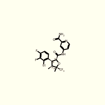 CCc1c([C@H]2[C@@H](C(=O)Nc3ccnc(C(N)=O)c3)O[C@@](C)(C(F)(F)F)[C@H]2C)ccc(F)c1F